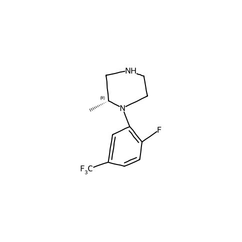 C[C@@H]1CNCCN1c1cc(C(F)(F)F)ccc1F